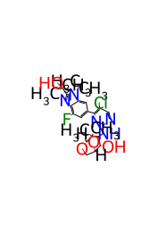 CC(C)n1c(C(C)(C)O)nc2c(F)cc(-c3nc(N[C@H]4[C@H](O)[C@@H]5CO[C@@H](O5)C4(C)C)ncc3Cl)cc21